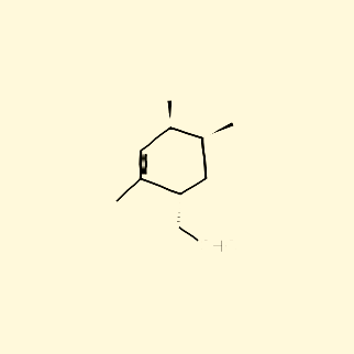 CC1=C[C@@H](C)[C@@H](C)C[C@@H]1CC=O